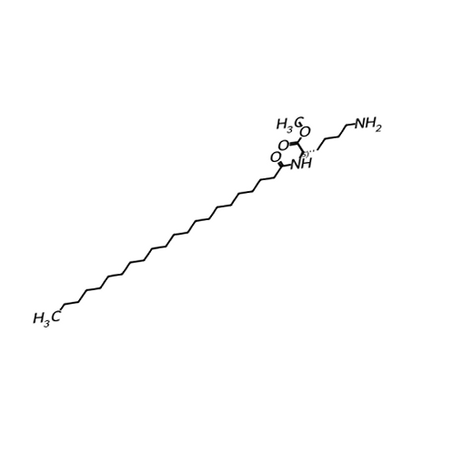 CCCCCCCCCCCCCCCCCCCCCC(=O)N[C@@H](CCCCN)C(=O)OC